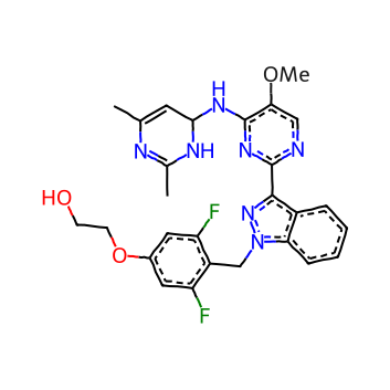 COc1cnc(-c2nn(Cc3c(F)cc(OCCO)cc3F)c3ccccc23)nc1NC1C=C(C)N=C(C)N1